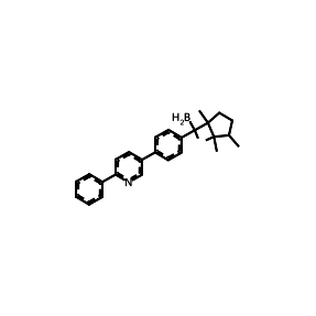 BC(C)(c1ccc(-c2ccc(-c3ccccc3)nc2)cc1)C1(C)CCC(C)C1(C)C